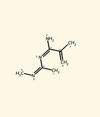 C=C(C)/C(N)=N\C(C)=N/C